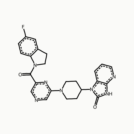 O=C(c1cncc(N2CCC(n3c(=O)[nH]c4ncccc43)CC2)n1)N1CCc2cc(F)ccc21